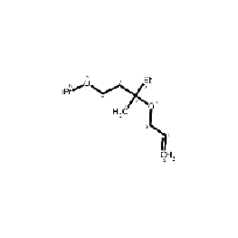 C=CCOC(C)(CC)CCOC(C)C